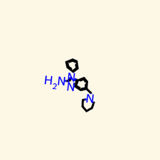 Nc1nc2cc(CN3CCCCC3)ccc2n1-c1ccccc1